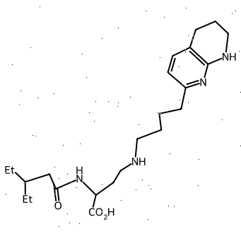 CCC(CC)CC(=O)NC(CCNCCCCc1ccc2c(n1)NCCC2)C(=O)O